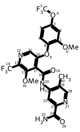 COc1cc(OC(F)(F)F)ccc1Oc1cnc(C(F)(F)F)c(OC)c1C(=O)Nc1cc(C(N)=O)ncc1C